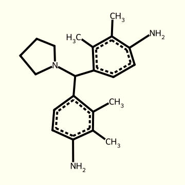 Cc1c(N)ccc(C(c2ccc(N)c(C)c2C)N2CCCC2)c1C